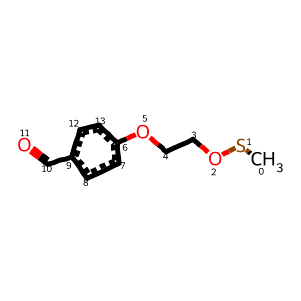 CSOCCOc1ccc(C=O)cc1